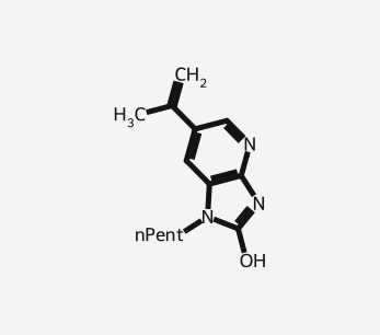 C=C(C)c1cnc2nc(O)n(CCCCC)c2c1